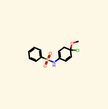 COC1(Cl)C=CC(NS(=O)(=O)c2ccccc2)=CC1